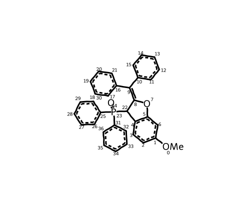 COc1ccc2c(c1)OC(=C(c1ccccc1)c1ccccc1)C2P(=O)(c1ccccc1)c1ccccc1